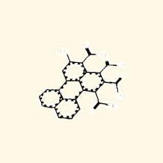 Cc1cc2c3cccc4cccc(c5c(C(=O)O)c(C(=O)O)c(C(=O)O)c(c1C(=O)O)c25)c43